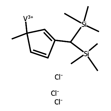 C[C]1([V+3])C=CC(C([Si](C)(C)C)[Si](C)(C)C)=C1.[Cl-].[Cl-].[Cl-]